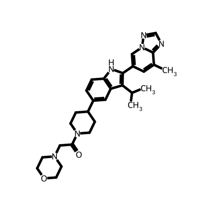 Cc1cc(-c2[nH]c3ccc(C4CCN(C(=O)CN5CCOCC5)CC4)cc3c2C(C)C)cn2ncnc12